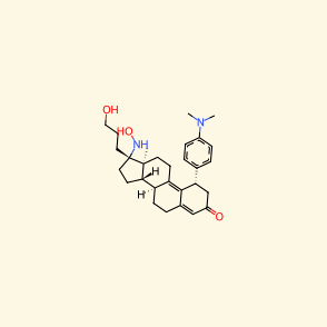 CN(C)c1ccc([C@@H]2CC(=O)C=C3CC[C@@H]4C(=C32)CC[C@@]2(C)[C@H]4CC[C@]2(CCCO)NO)cc1